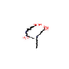 CCCCC/C=C\C/C=C\CCCCCCCC(=O)O.CCCCCCCC/C=C\CCCCCCCC(=O)O.O